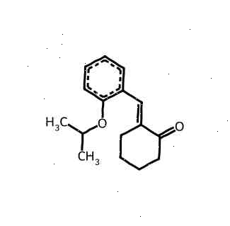 CC(C)Oc1ccccc1C=C1CCCCC1=O